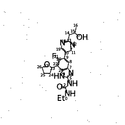 CCNC(=O)Nc1nc2cc(-c3cnc(CC(C)O)nc3)c(F)c(C3CCCO3)c2[nH]1